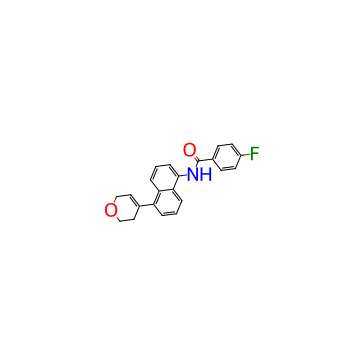 O=C(Nc1cccc2c(C3=CCOCC3)cccc12)c1ccc(F)cc1